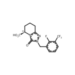 O=C(O)[C@H]1CCCc2nn(Cc3cccc(C(F)(F)F)c3F)c(=O)n21